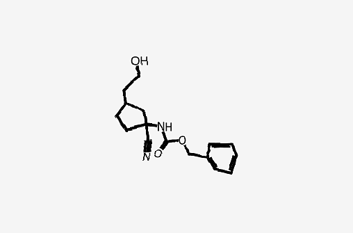 N#CC1(NC(=O)OCc2ccccc2)CCC(CCO)C1